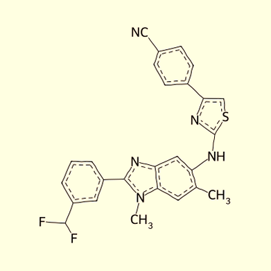 Cc1cc2c(cc1Nc1nc(-c3ccc(C#N)cc3)cs1)nc(-c1cccc(C(F)F)c1)n2C